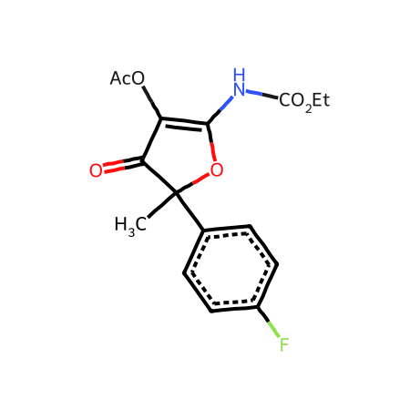 CCOC(=O)NC1=C(OC(C)=O)C(=O)C(C)(c2ccc(F)cc2)O1